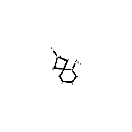 CN1CCCCC12CN(I)C2